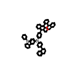 c1ccc(-n2c3ccccc3c3cc(N(c4ccc(-c5cccc6ccccc56)cc4)c4ccc(-c5c6ccccc6c(-c6ccccc6-c6cccc7ccccc67)c6ccccc56)cc4)ccc32)cc1